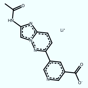 CC(=O)Nc1cn2nc(-c3cncc(C(=O)[O-])c3)ccc2n1.[Li+]